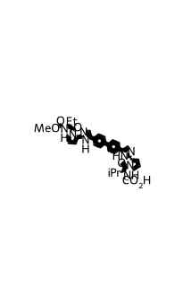 CC[C@H](NC(=O)OC)C(=O)N1CCCC1c1ncc(-c2ccc(-c3ccc(-c4cnc([C@@H]5CCCN5C(=O)[C@@H](NC(=O)O)C(C)C)[nH]4)cc3)cc2)[nH]1